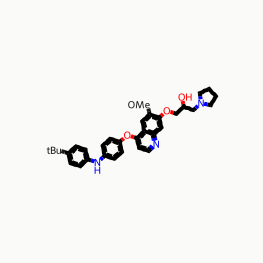 COc1cc2c(Oc3ccc(Nc4ccc(C(C)(C)C)cc4)cc3)ccnc2cc1OCC(O)CN1CCCC1